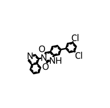 O=c1[nH]c2cc(-c3cc(Cl)cc(Cl)c3)ccc2c(=O)n1-c1cncc2ccccc12